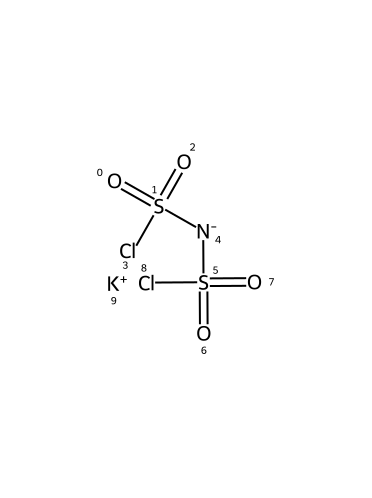 O=S(=O)(Cl)[N-]S(=O)(=O)Cl.[K+]